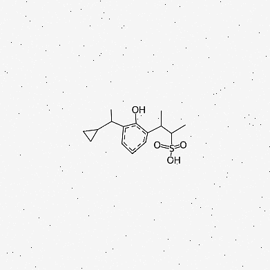 CC(c1cccc(C(C)C(C)S(=O)(=O)O)c1O)C1CC1